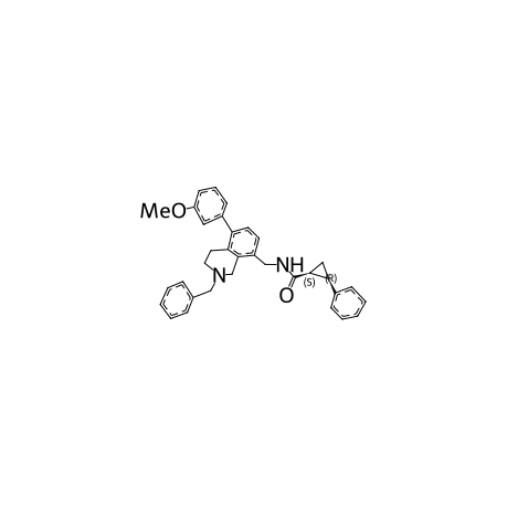 COc1cccc(-c2ccc(CNC(=O)[C@H]3C[C@H]3c3ccccc3)c3c2CCN(Cc2ccccc2)C3)c1